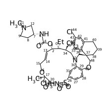 CC[C@H]1[C@@H](OC(=O)N[C@@H]2CCN(C)C2)/C=C/COC(C)(C)C(=O)NS(=O)(=O)c2ccc3c(c2)N(C[C@@H]1C)C[C@@]1(CCCc2cc(Cl)ccc21)CO3